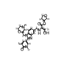 Cc1cc(-c2nc3cc(CN[C@H](C(=O)O[C@H]4CCOC4)[C@H](C)O)ccc3n2C[C@@H]2CN(C)CCO2)cn(C)c1=O